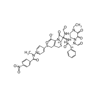 CCN1CCN(N(C=O)[C@@H](C(=O)N[C@]2(NC=O)C(=O)N3C(C(=O)[O-])=C(CSc4cc[n+](N(C)C(=O)c5ccc([N+](=O)[O-])cc5)cc4)CS[C@@H]32)c2ccccc2)C(=O)C1=O